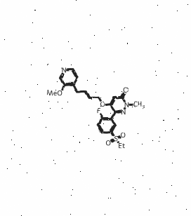 CCS(=O)(=O)c1ccc(F)c(-c2nn(C)c(=O)cc2OCCCCc2ccncc2OC)c1